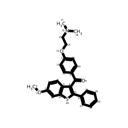 COc1ccc2c(C(=O)c3ccc(OCCN(C)C)cc3)c(-c3ccccc3)sc2c1